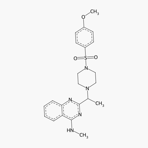 CNc1nc(C(C)N2CCN(S(=O)(=O)c3ccc(OC)cc3)CC2)nc2ccccc12